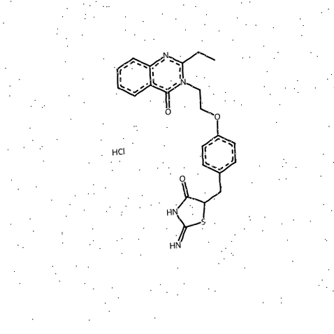 CCc1nc2ccccc2c(=O)n1CCOc1ccc(CC2SC(=N)NC2=O)cc1.Cl